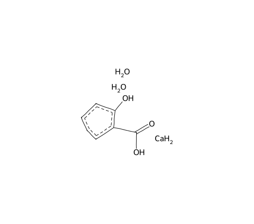 O.O.O=C(O)c1ccccc1O.[CaH2]